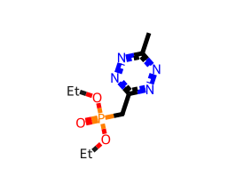 CCOP(=O)(Cc1nnc(C)nn1)OCC